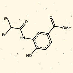 COC(=O)c1ccc(O)c(NC(=O)C(Br)C(C)C)c1